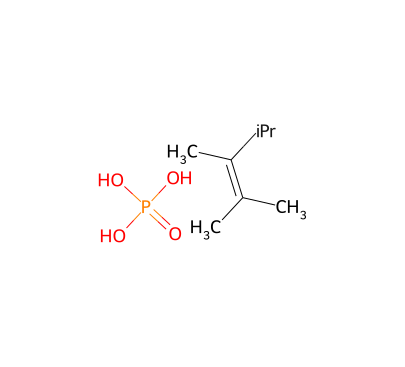 CC(C)=C(C)C(C)C.O=P(O)(O)O